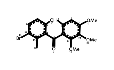 COc1cc(C)c(C(=O)c2c(O)ccc(Br)c2C)c(OC)c1OC